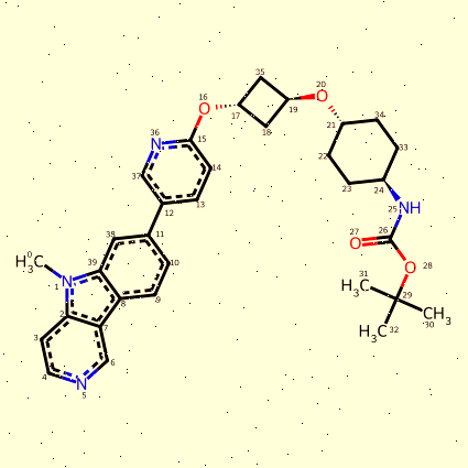 Cn1c2ccncc2c2ccc(-c3ccc(O[C@H]4C[C@H](O[C@H]5CC[C@H](NC(=O)OC(C)(C)C)CC5)C4)nc3)cc21